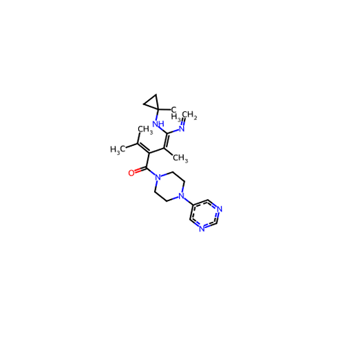 C=N/C(NC1(C)CC1)=C(\C)C(C(=O)N1CCN(c2cncnc2)CC1)=C(C)C